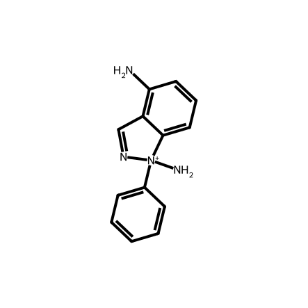 Nc1cccc2c1C=N[N+]2(N)c1ccccc1